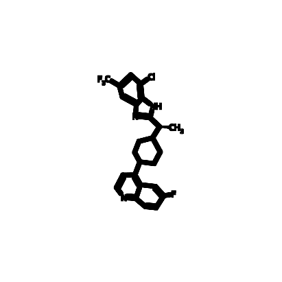 C[C@@H](c1nc2cc(C(F)(F)F)cc(Cl)c2[nH]1)C1CCC(c2ccnc3ccc(F)cc23)CC1